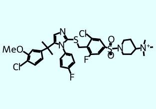 COc1cc(C(C)(C)c2cnc(SCc3c(F)cc(S(=O)(=O)N4CCC([N+](C)(C)C)CC4)cc3Cl)n2-c2ccc(F)cc2)ccc1Cl